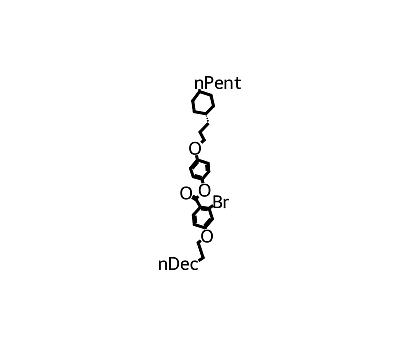 CCCCCCCCCCCCOc1ccc(C(=O)Oc2ccc(OCCC[C@H]3CC[C@H](CCCCC)CC3)cc2)c(Br)c1